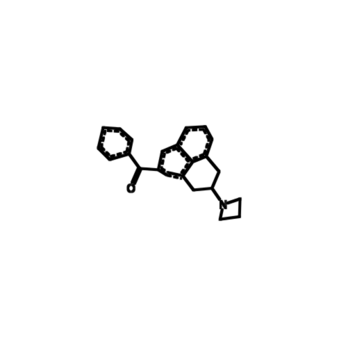 O=C(c1ccccc1)c1cc2c3c(cccc3c1)CC(N1CCC1)C2